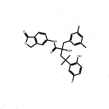 Cc1cc(C)cc(CC(O)(CC(C)(C)c2cc(F)ccc2O)C(=O)Nc2ccc3c(c2)COC3=O)c1